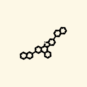 c1ccc2cc(-c3ccc4c(c3)sc3c5ccc(-c6ccc7ccccc7c6)cc5c5ccccc5c43)ccc2c1